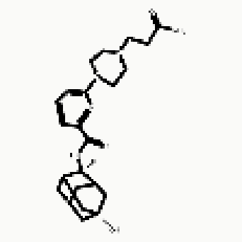 NC(=O)CCN1CCN(c2cccc(C(=O)N[C@H]3C4CC5CC3C[C@](O)(C5)C4)n2)CC1